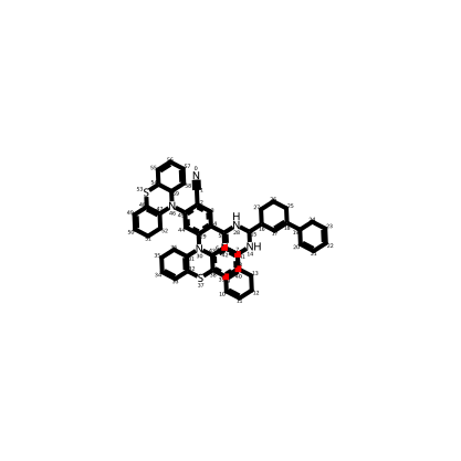 N#Cc1cc(C2=NC(C3=CC=CCC3)NC(C3C=C(C4C=CC=CC4)CCC3)N2)c(N2C3=C(C=CCC3)Sc3ccccc32)cc1N1C2=C(C=CCC2)SC2C=CC=CC21